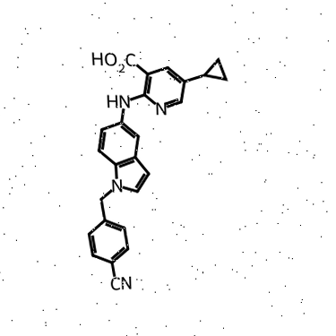 N#Cc1ccc(Cn2ccc3cc(Nc4ncc(C5CC5)cc4C(=O)O)ccc32)cc1